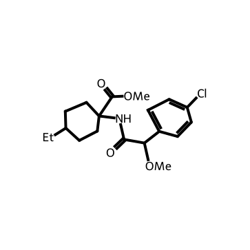 CCC1CCC(NC(=O)C(OC)c2ccc(Cl)cc2)(C(=O)OC)CC1